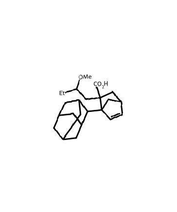 CCC(CC1(C(=O)O)CC2C=CC1(C1C3CC4CC(C3)CC1C4)C2)OC